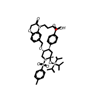 COCCCN1C(=O)COc2ccc(CO[C@H]3CN(S(=O)(=O)c4ccc(C)cc4)[C@@](C)(O[Si](C(C)C)(C(C)C)C(C)C)C[C@@H]3c3ccc(C(=O)O)cc3)cc21